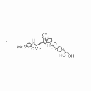 COc1cc(SC)ccc1NCC#Cc1cc2c(NC(=O)NC3CCN(CC(O)CO)CC3)cccc2n1CC(F)(F)F